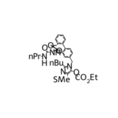 CCCCc1nc(SC)c(OC(=O)OCC)n1Cc1ccc(-c2ccccc2S(=O)(=O)NC(=O)NCCC)cc1